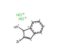 CCCC1[C]([Zr])=Cc2ccccc21.Cl.Cl